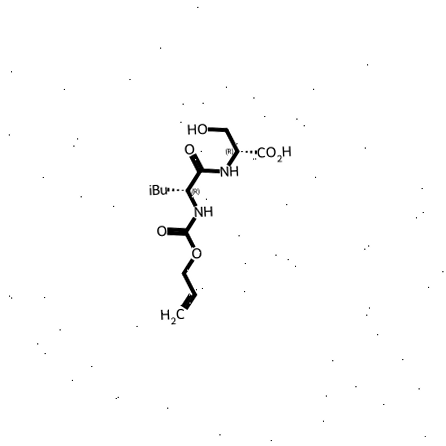 C=CCOC(=O)N[C@@H](C(=O)N[C@H](CO)C(=O)O)C(C)CC